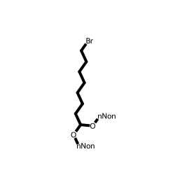 CCCCCCCCCOC(CCCCCCCBr)OCCCCCCCCC